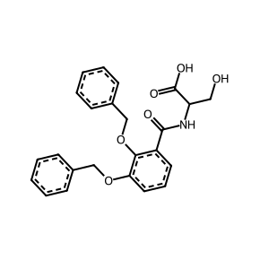 O=C(NC(CO)C(=O)O)c1cccc(OCc2ccccc2)c1OCc1ccccc1